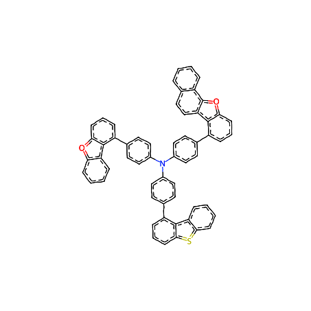 c1ccc2c(c1)ccc1c2oc2cccc(-c3ccc(N(c4ccc(-c5cccc6oc7ccccc7c56)cc4)c4ccc(-c5cccc6sc7ccccc7c56)cc4)cc3)c21